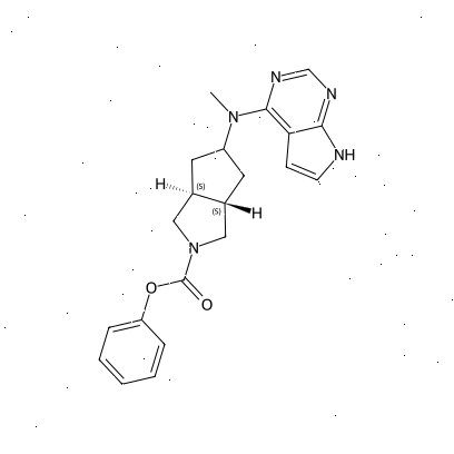 CN(c1ncnc2[nH]ccc12)C1C[C@@H]2CN(C(=O)Oc3ccccc3)C[C@H]2C1